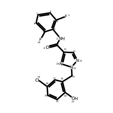 O=C(Nc1c(F)cccc1F)c1cnn(Cc2cc(Cl)ccc2O)n1